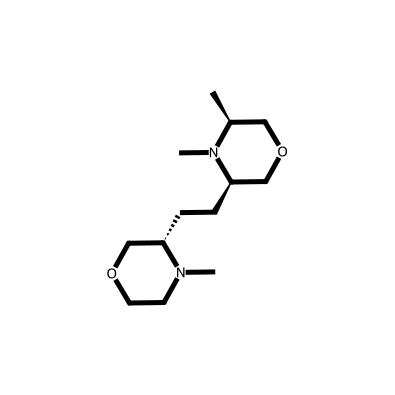 C[C@H]1COC[C@@H](CC[C@H]2COCCN2C)N1C